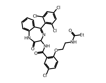 CCC(=O)NCCOc1ccc(Cl)cc1C(=O)NC1N=C(c2c(Cl)cc(Cl)cc2Cl)c2ccccc2NC1=O